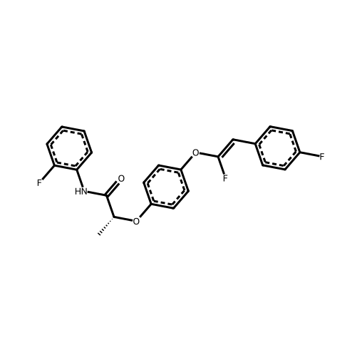 C[C@@H](Oc1ccc(OC(F)=Cc2ccc(F)cc2)cc1)C(=O)Nc1ccccc1F